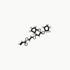 C=CC(=O)OCCOCCC(OC1CCCC1)OC1CCCC1